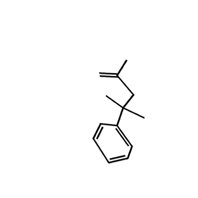 C=C(C)CC(C)(C)c1ccccc1